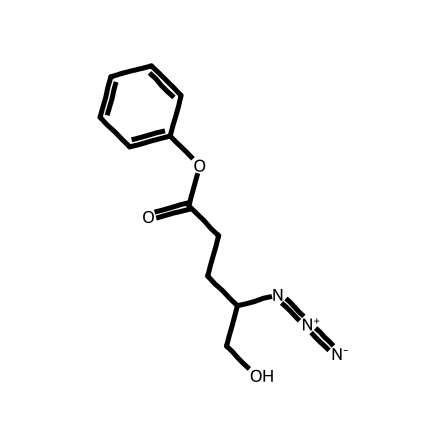 [N-]=[N+]=NC(CO)CCC(=O)Oc1ccccc1